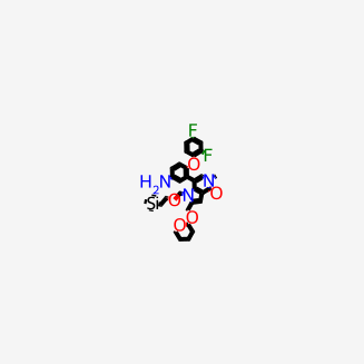 Cn1cc(-c2cc(N)ccc2Oc2ccc(F)cc2F)c2c(cc(COC3CCCCO3)n2COCC[Si](C)(C)C)c1=O